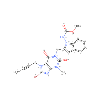 CC#CCn1c(Br)nc2c1c(=O)n(Cc1cc3ccccc3n1NC(=O)OC(C)(C)C)c(=O)n2C